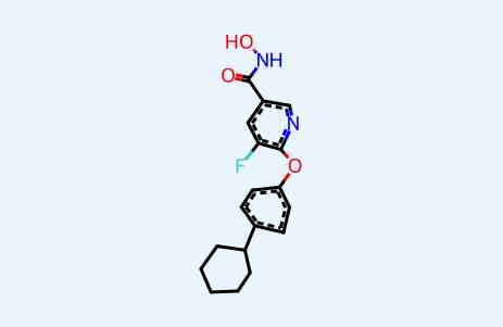 O=C(NO)c1cnc(Oc2ccc(C3CCCCC3)cc2)c(F)c1